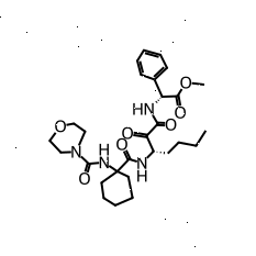 CCCC[C@H](NC(=O)C1(NC(=O)N2CCOCC2)CCCCC1)C(=O)C(=O)N[C@@H](C(=O)OC)c1ccccc1